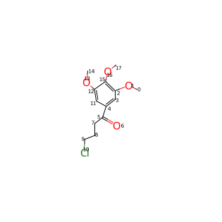 COc1cc(C(=O)CCCCl)cc(OC)c1OC